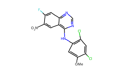 COc1cc(Nc2ncnc3cc(F)c([N+](=O)[O-])cc23)c(Cl)cc1Cl